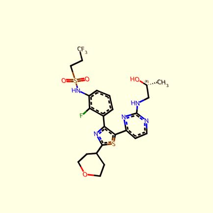 C[C@@H](O)CNc1nccc(-c2sc(C3CCOCC3)nc2-c2cccc(NS(=O)(=O)CCC(F)(F)F)c2F)n1